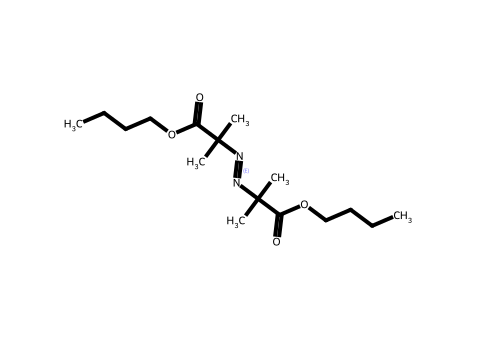 CCCCOC(=O)C(C)(C)/N=N/C(C)(C)C(=O)OCCCC